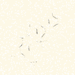 COc1cc(C(=O)NCC(c2cc(C(C)(C)N)cc(-c3ccc(F)c(Cl)c3)n2)C(F)(F)F)ccc1OC1CC1